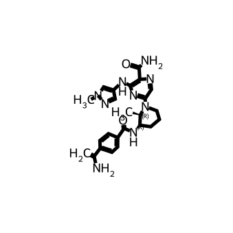 C=C(N)c1ccc(C(=O)N[C@@H]2CCCN(c3cnc(C(N)=O)c(Nc4cnn(C)c4)n3)[C@@H]2C)cc1